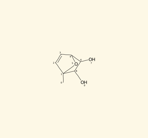 CC12C=CC(O1)C(O)C2O